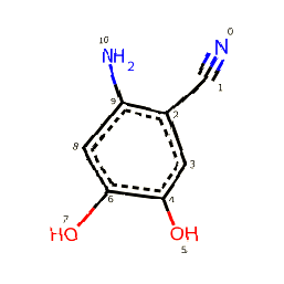 N#Cc1cc(O)c(O)cc1N